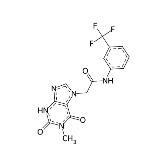 Cn1c(=O)[nH]c2ncn(CC(=O)Nc3cccc(C(F)(F)F)c3)c2c1=O